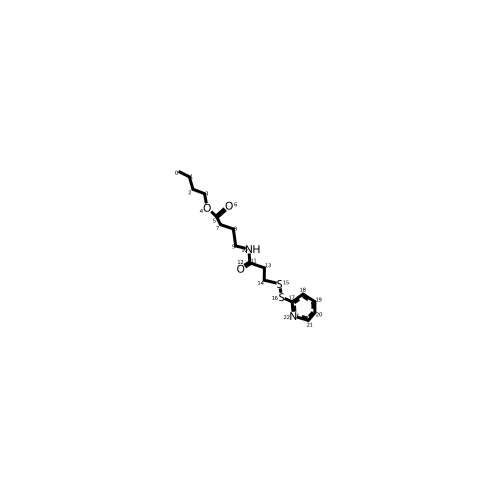 CCCCOC(=O)CCCNC(=O)CCSSc1ccccn1